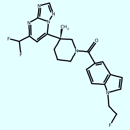 C[C@]1(c2cc(C(F)F)nc3ncnn23)CCCN(C(=O)c2ccc3c(ccn3CCF)c2)C1